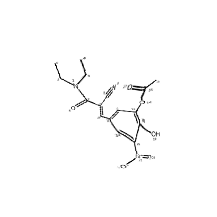 CCN(CC)C(=O)/C(C#N)=C/c1cc(OC(C)=O)c(O)c([N+](=O)[O-])c1